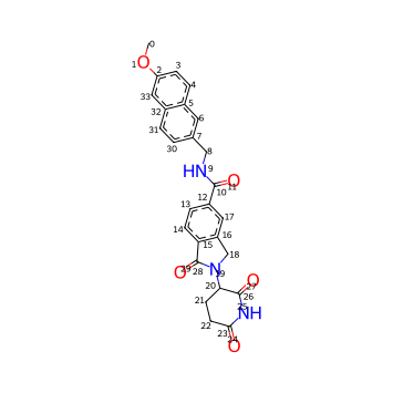 COc1ccc2cc(CNC(=O)c3ccc4c(c3)CN(C3CCC(=O)NC3=O)C4=O)ccc2c1